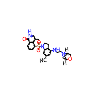 Cc1c[nH]c(=O)c2cccc(S(=O)(=O)N3CCc4c(NCCN5C[C@@H]6C[C@@H]5CO6)cc(C#N)cc43)c12